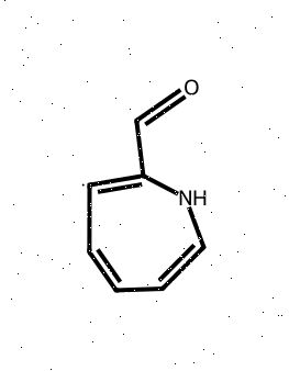 O=CC1=[C]C=CC=CN1